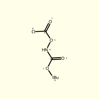 CC(C)(C)OC(=O)NOC(=O)Cl